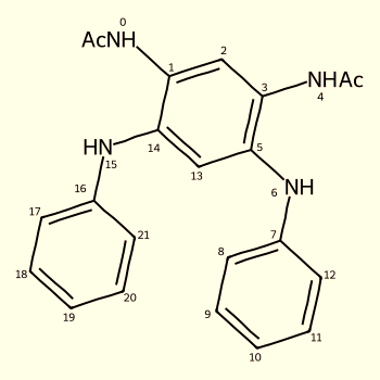 CC(=O)Nc1cc(NC(C)=O)c(Nc2ccccc2)cc1Nc1ccccc1